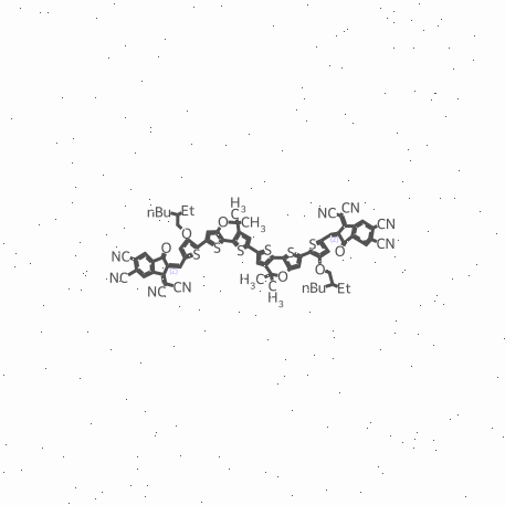 CCCCC(CC)COc1cc(/C=C2\C(=O)c3cc(C#N)c(C#N)cc3C2=C(C#N)C#N)sc1-c1cc2c(s1)-c1sc(-c3cc4c(s3)-c3sc(-c5sc(/C=C6\C(=O)c7cc(C#N)c(C#N)cc7C6=C(C#N)C#N)cc5OCC(CC)CCCC)cc3OC4(C)C)cc1C(C)(C)O2